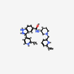 COc1cccc(CN2CCC[C@@H](NC(=O)c3ccc4[nH]nc(-c5ccnc(C)c5)c4c3)C2)n1